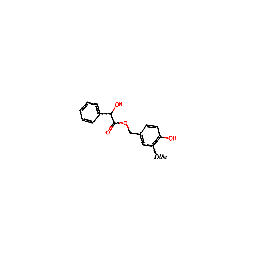 COc1cc(COC(=O)C(O)c2ccccc2)ccc1O